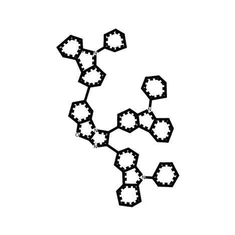 c1ccc(-n2c3ccccc3c3cc(-c4ccc5oc6nc(-c7ccc8c(c7)c7ccccc7n8-c7ccccc7)c(-c7ccc8c(c7)c7ccccc7n8-c7ccccc7)n6c5c4)ccc32)cc1